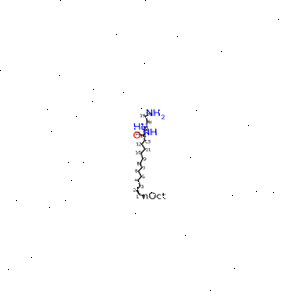 CCCCCCCC/C=C\CCCCCCCCCCCC(=O)NNCCN